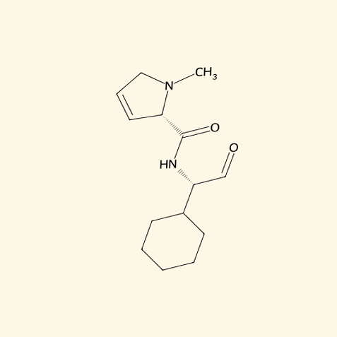 CN1CC=C[C@H]1C(=O)N[C@H](C=O)C1CCCCC1